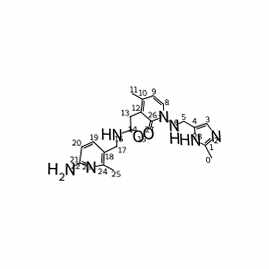 Cc1ncc(CNn2ccc(C)c(CC(=O)NCc3ccc(N)nc3C)c2=O)[nH]1